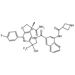 C[C@]1(C(N)=O)COc2c1cc(C(O)(CNC(=O)c1cc(NC(=O)C3CNC3)c3ncccc3c1)C(F)(F)F)nc2-c1ccc(F)cc1